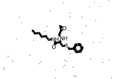 CCCCCCNC(=O)C(CSCc1ccccc1)NCC1CO1